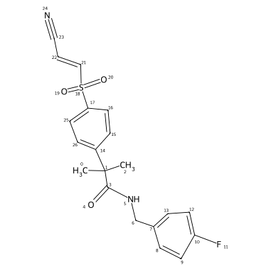 CC(C)(C(=O)NCc1ccc(F)cc1)c1ccc(S(=O)(=O)/C=C/C#N)cc1